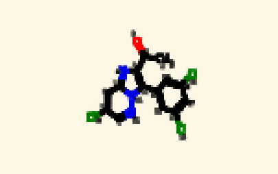 CC(=O)c1nc2cc(Cl)cnn2c1-c1cc(Cl)cc(Cl)c1